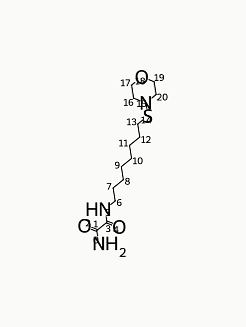 NC(=O)C(=O)NCCCCCCCCSN1CCOCC1